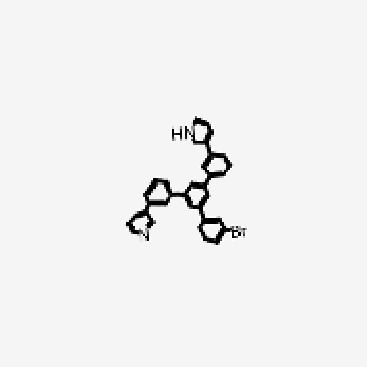 BrC1=CCCC(c2cc(-c3cccc(C4=CC=CNC4)c3)cc(-c3cccc(-c4cccnc4)c3)c2)=C1